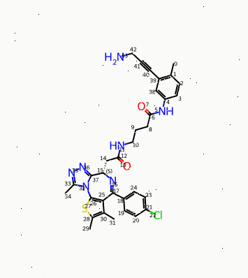 Cc1ccc(NC(=O)CCCNC(=O)C[C@@H]2N=C(c3ccc(Cl)cc3)c3c(sc(C)c3C)-n3c(C)nnc32)cc1C#CCN